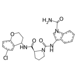 NC(=O)n1cc(NC(=O)N2CCC[C@H]2C(=O)NC2CCOc3ccc(Cl)cc32)c2ccccc21